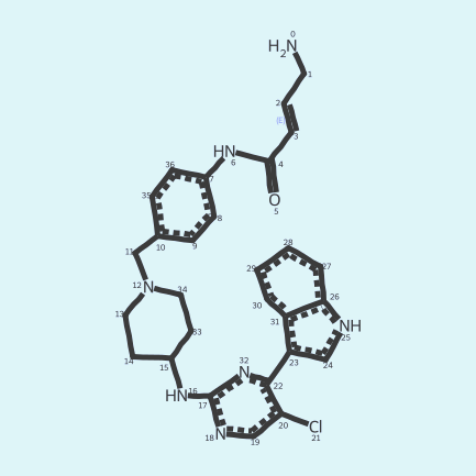 NC/C=C/C(=O)Nc1ccc(CN2CCC(Nc3ncc(Cl)c(-c4c[nH]c5ccccc45)n3)CC2)cc1